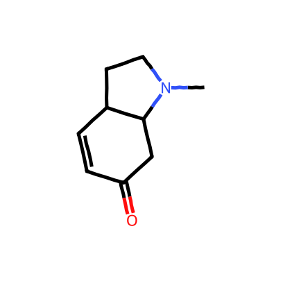 CN1CCC2C=CC(=O)CC21